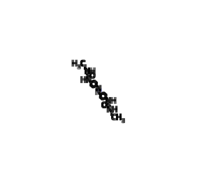 CCCNCC(=O)Nc1ccc(/N=N/c2ccc(NC(=O)CNCCC)cc2)cc1